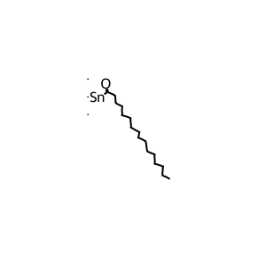 CCCCCCCCCCCCCCC[C](=O)[Sn]